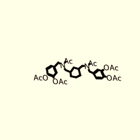 CC(=O)Oc1ccc(CN(CC2CCCC(CN(Cc3ccc(OC(C)=O)c(OC(C)=O)c3)C(C)=O)C2)C(C)=O)cc1OC(C)=O